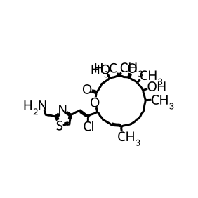 CC1=CCC(C(Cl)=Cc2csc(CN)n2)OC(=O)CC(O)C(C)(C)C(=O)C(C)C(O)C(C)CCC1